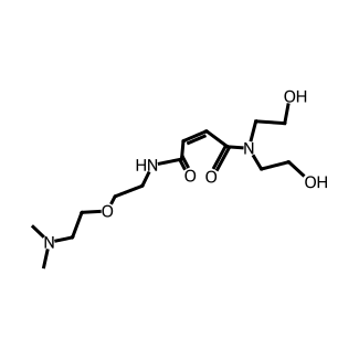 CN(C)CCOCCNC(=O)/C=C\C(=O)N(CCO)CCO